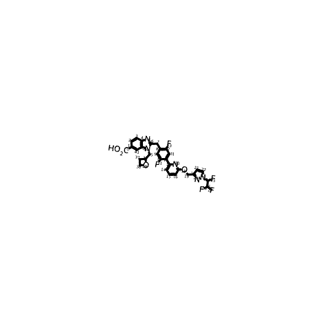 O=C(O)c1ccc2nc(Cc3cc(F)c(-c4cccc(OCc5ccn(C(F)C(F)F)n5)n4)cc3F)n(CC3CCO3)c2c1